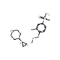 CS(=O)(=O)c1ccc(OCC[C@@H]2C[C@H]2C2CCNCC2)c(F)c1